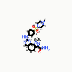 CCCCn1nc(C(N)=O)c2c1-c1nc(Nc3ccc(S(=O)(=O)N4CCN(C)CC4)cc3)ncc1CCC2